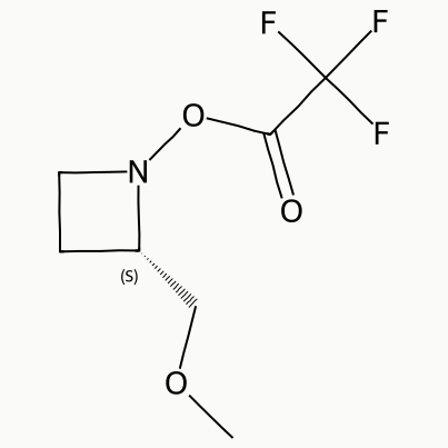 COC[C@@H]1CCN1OC(=O)C(F)(F)F